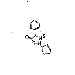 O=C1SN(c2ccccc2)[N+](=S)C1c1ccccc1